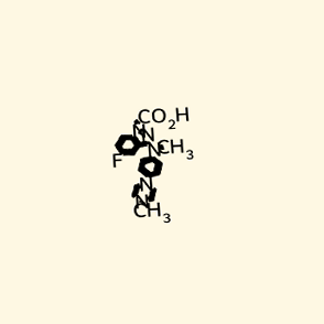 CN1CCN(c2ccc(N(C)c3nn(CC(=O)O)c4ccc(F)cc34)cc2)CC1